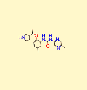 Cc1ccc(OC(C)C2CCNC2)c(NC(=O)Nc2cnc(C)cn2)c1